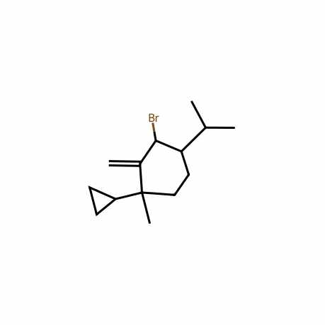 C=C1C(Br)C(C(C)C)CCC1(C)C1CC1